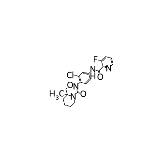 CC12CCCCN1C(=O)N(c1ccc(NC(=O)c3ncccc3F)cc1Cl)OC2